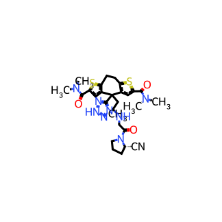 C[C@H](CC1(c2nn[nH]n2)c2cc(C(=O)N(C)C)sc2CCc2sc(C(=O)N(C)C)cc21)NCC(=O)N1CCC[C@H]1C#N